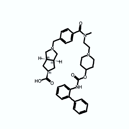 CN(CCN1CCC(OC(=O)Nc2ccccc2-c2ccccc2)CC1)C(=O)c1ccc(CN2C[C@H]3C[C@@H](C(=O)O)C[C@H]3C2)cc1